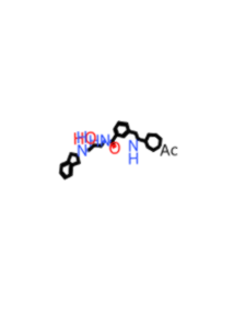 CC(=O)C1CCCC(C(=N)Cc2cccc(C(=O)NC[C@@H](O)CNC3Cc4ccccc4C3)c2)CC1